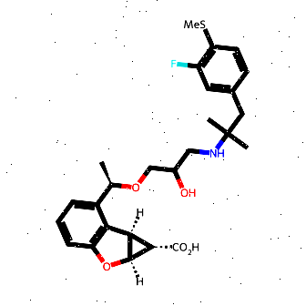 CSc1ccc(CC(C)(C)NCC(O)CO[C@H](C)c2cccc3c2[C@@H]2[C@H](O3)[C@H]2C(=O)O)cc1F